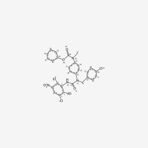 CCc1c(Cl)cc([N+](=O)[O-])c(CC)c1NC(=O)N(Cc1ccc(Cl)cc1)c1ccc(N(C)C(=O)Oc2ccccc2)cc1